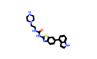 O=C(NCCN1CCNCC1)Nc1nc2ccc(-c3cccc4[nH]ccc34)cc2s1